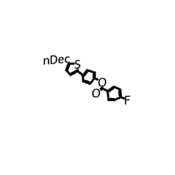 CCCCCCCCCCc1ccc(-c2ccc(OC(=O)c3ccc(F)cc3)cc2)s1